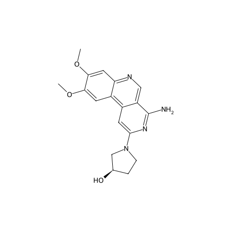 COc1cc2ncc3c(N)nc(N4CC[C@@H](O)C4)cc3c2cc1OC